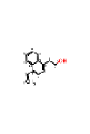 C=Cc1ccc(CCO)c2ccccc12